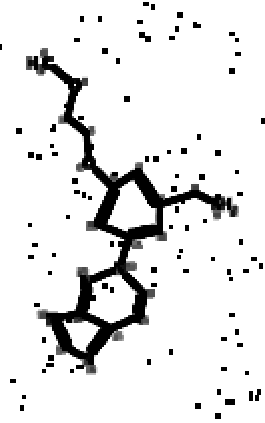 COCCOc1cc(CN)cc(-n2ccc3ncnc-3n2)c1